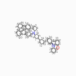 c1ccc(N(c2ccc(-c3cccc(-c4ccc5c6cccc7c6n(c5c4)-c4ccccc4O7)c3)cc2)c2ccc3c(c2)C(c2ccccc2)(c2ccccc2)c2ccccc2-3)cc1